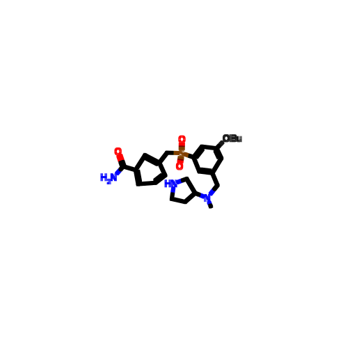 CC(C)COc1cc(CN(C)C2CCNC2)cc(S(=O)(=O)Cc2cccc(C(N)=O)c2)c1